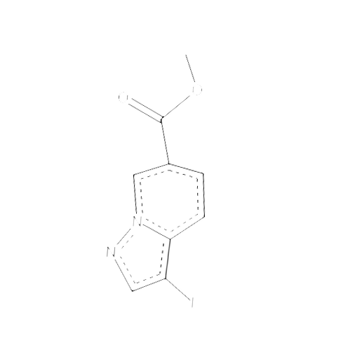 COC(=O)c1ccc2c(I)cnn2c1